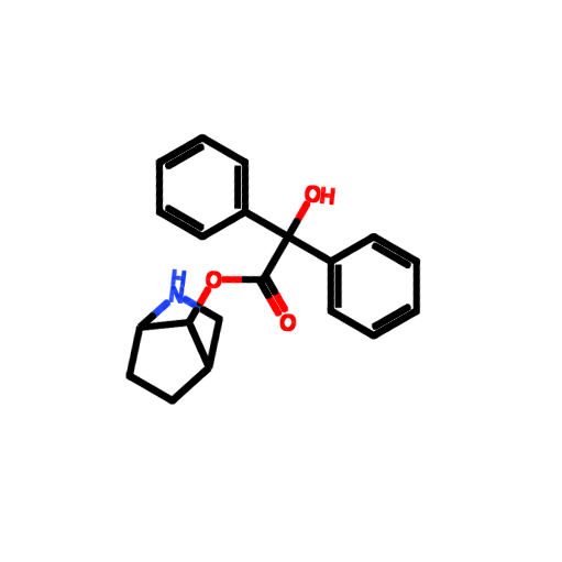 O=C(OC1C2CCC1NC2)C(O)(c1ccccc1)c1ccccc1